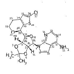 CC1(C)O[C@H]2[C@@H](O1)[C@H](n1ccc3c(N)ncnc31)O[C@@H]2[C@H]1OCCc2cc(Cl)sc21